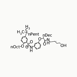 CCCCCCCCCCC(Oc1cccc(NS(=O)(=O)c2cc(C(C)(C)CCCCC)ccc2OCCCCCCCC)c1)C(=O)NC[CH]CCO